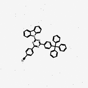 N#Cc1ccc(-c2nc(-c3ccc(C(c4ccccc4)(c4ccccc4)c4ccccc4)cc3)nc(-n3c4ccccc4c4ccccc43)n2)cc1